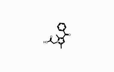 Cc1cc(C(=O)c2ccccc2)c(C)n1CC(=O)O